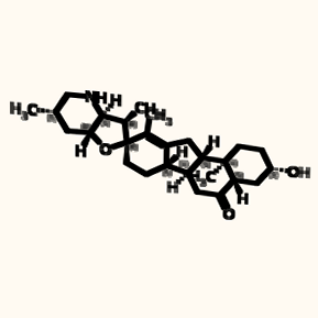 CC1=C2C[C@H]3[C@@H](CC(=O)[C@H]4C[C@@H](O)CC[C@@]43C)[C@@H]2CC[C@]12O[C@@H]1C[C@H](C)CN[C@H]1[C@H]2C